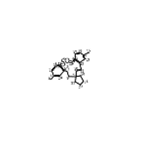 Cc1ccc(S(=O)(=O)O)c(CCC2(CCc3cc(C)ccc3S(=O)(=O)O)CCCC2)c1